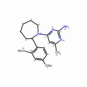 COc1ccc(C2CCCCCN2c2cc(C)nc(N)n2)c(OC)c1